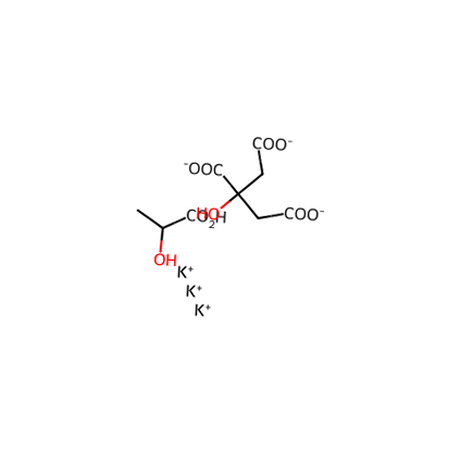 CC(O)C(=O)O.O=C([O-])CC(O)(CC(=O)[O-])C(=O)[O-].[K+].[K+].[K+]